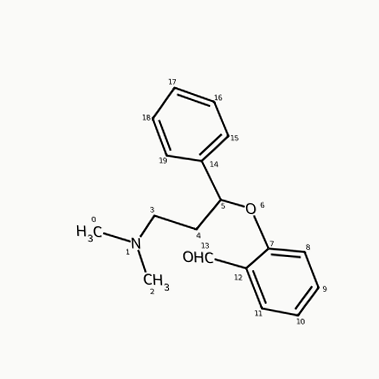 CN(C)CCC(Oc1ccccc1C=O)c1ccccc1